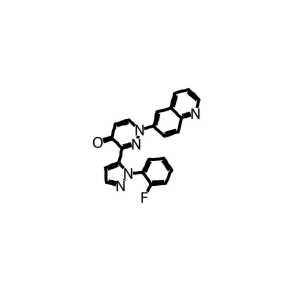 O=c1ccn(-c2ccc3ncccc3c2)nc1-c1ccnn1-c1ccccc1F